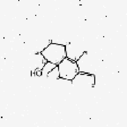 CC=C1CCC2(C)C(=C1C)CCCC2O